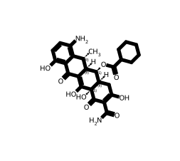 C[C@H]1c2c(N)ccc(O)c2C(=O)C2=C(O)[C@]3(O)C(=O)C(C(N)=O)=C(O)C[C@@H]3[C@@H](OC(=O)C3CCCCC3)[C@@H]21